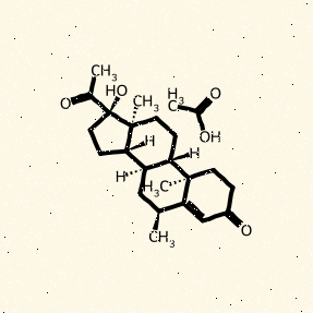 CC(=O)O.CC(=O)[C@@]1(O)CC[C@H]2[C@@H]3C[C@H](C)C4=CC(=O)CC[C@]4(C)[C@H]3CC[C@@]21C